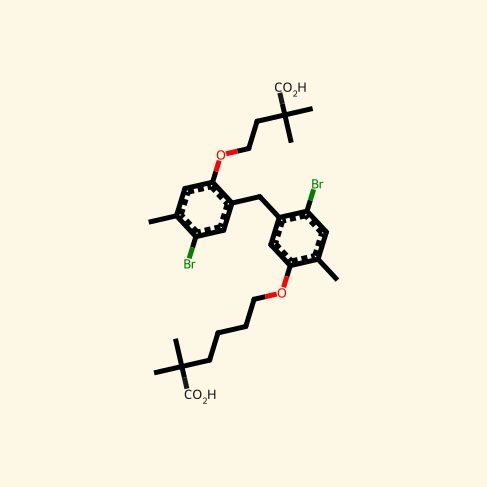 Cc1cc(OCCC(C)(C)C(=O)O)c(Cc2cc(OCCCCC(C)(C)C(=O)O)c(C)cc2Br)cc1Br